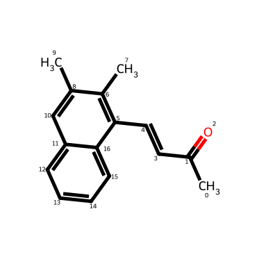 CC(=O)C=Cc1c(C)c(C)cc2ccccc12